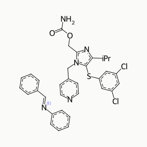 C(=N\c1ccccc1)/c1ccccc1.CC(C)c1nc(COC(N)=O)n(Cc2ccncc2)c1Sc1cc(Cl)cc(Cl)c1